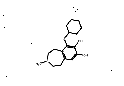 CN1CCc2cc(O)c(O)c(SC3CCCCC3)c2CC1